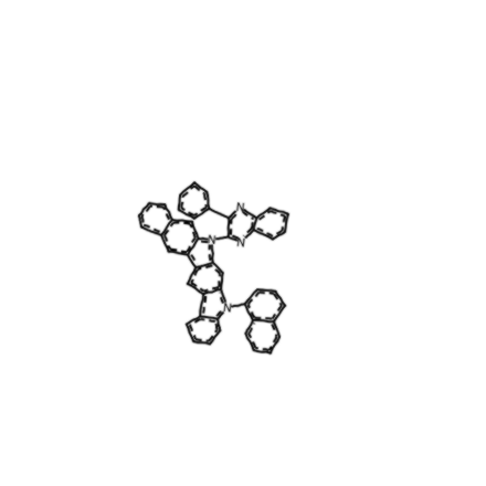 c1ccc(-c2nc3ccccc3nc2-n2c3cc4ccccc4cc3c3cc4c5ccccc5n(-c5cccc6ccccc56)c4cc32)cc1